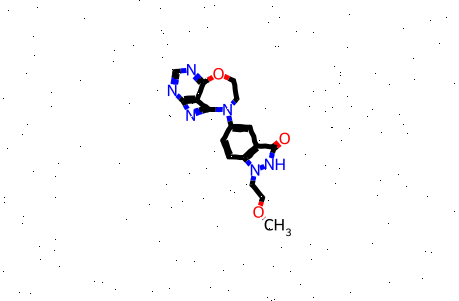 COCCn1[nH]c(=O)c2cc(N3CCOc4ncnc5c4C3=N5)ccc21